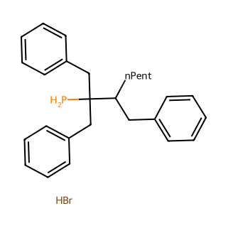 Br.CCCCCC(Cc1ccccc1)C(P)(Cc1ccccc1)Cc1ccccc1